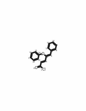 O=C(Cl)C=CC(=Cc1ccccc1)Oc1ccccc1